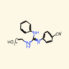 N#Cc1ccc(N=C(NCC(=O)O)Nc2ccccc2)cc1